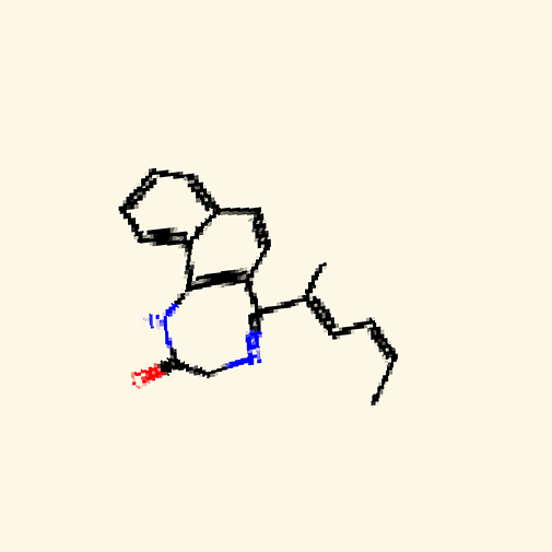 C/C=C\C=C(/C)C1=NCC(=O)Nc2c1ccc1ccccc21